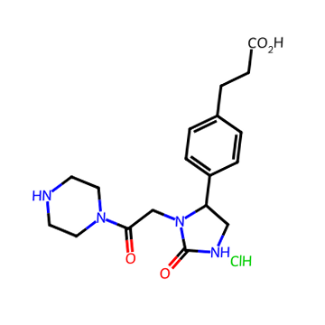 Cl.O=C(O)CCc1ccc(C2CNC(=O)N2CC(=O)N2CCNCC2)cc1